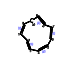 [C]1=C/C=C/C=C\C=C/C=C/C\1